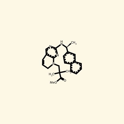 COC(=O)C(C)(C)CN1CC=Cc2cnc(N[C@@H](C)c3ccc4ccccc4c3)nc21